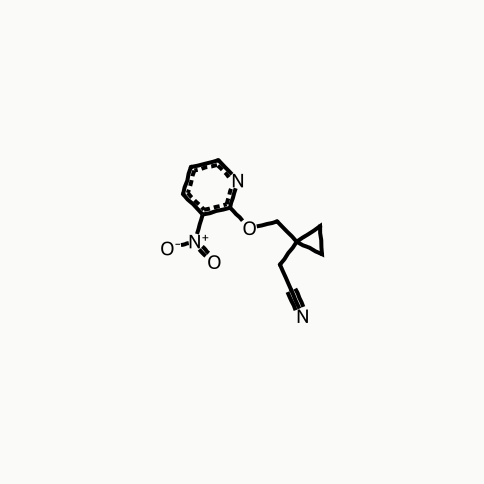 N#CCC1(COc2ncccc2[N+](=O)[O-])CC1